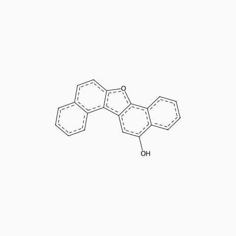 Oc1cc2c(oc3ccc4ccccc4c32)c2ccccc12